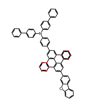 c1ccc(-c2ccc(N(c3ccc(-c4ccccc4)cc3)c3ccc(-c4cc(-c5ccccc5)c(-c5c(-c6ccccc6)cc(-c6ccc7c(c6)oc6ccccc67)cc5-c5ccccc5)c(-c5ccccc5)c4)cc3)cc2)cc1